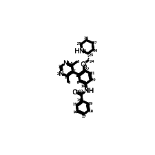 Cc1ncnc(C)c1-c1cc(NC(=O)c2ccccc2)ccc1OC[C@H]1CCCCN1